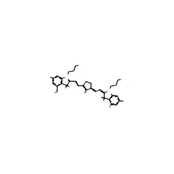 CCCCN1/C(=C/C=C2\CCC(/C=C/C3=[N+](CCCC)c4cc(C)cc(CC)c4C3(C)C)=C2Cl)C(C)(C)c2c(C)cc(C)cc21